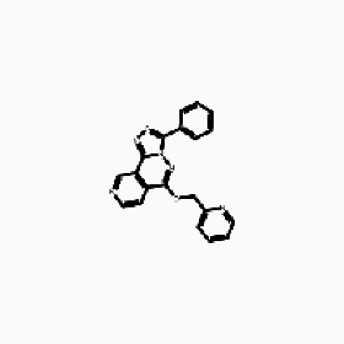 c1ccc(-c2nnc3c4cnccc4c(OCc4ccccn4)nn23)cc1